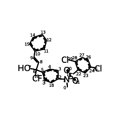 CN(c1ccc(C(O)(C=Cc2ccccc2)C(F)(F)F)cc1)S(=O)(=O)c1cc(Cl)ccc1Cl